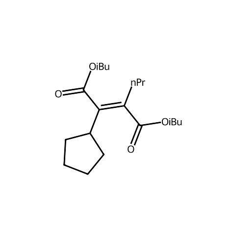 CCCC(C(=O)OCC(C)C)=C(C(=O)OCC(C)C)C1CCCC1